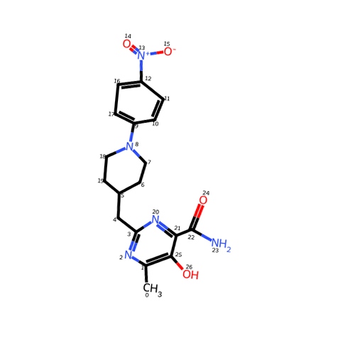 Cc1nc(CC2CCN(c3ccc([N+](=O)[O-])cc3)CC2)nc(C(N)=O)c1O